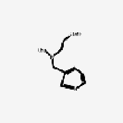 COCCN(Cc1cccnc1)C(C)(C)C